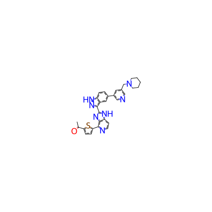 CC(=O)c1ccc(-c2nccc3[nH]c(-c4n[nH]c5ccc(-c6cncc(CN7CCCCC7)c6)cc45)nc23)s1